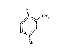 Cc1cc([N])ccc1F